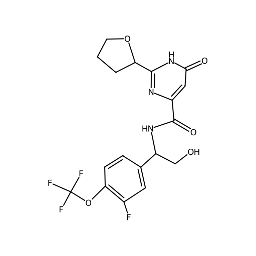 O=C(NC(CO)c1ccc(OC(F)(F)F)c(F)c1)c1cc(=O)[nH]c(C2CCCO2)n1